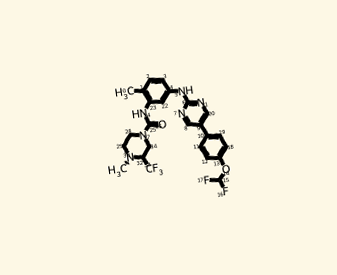 Cc1ccc(Nc2ncc(-c3ccc(OC(F)F)cc3)cn2)cc1NC(=O)N1CCN(C)C(C(F)(F)F)C1